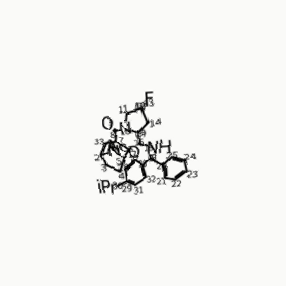 CC(=O)N1C2CCC1CC(C(=O)N1C[C@H](F)C[C@H]1C(=O)N[C@@H](c1ccccc1)c1ccc(C(C)C)cc1)C2